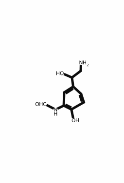 NCC(O)c1ccc(O)c(NC=O)c1